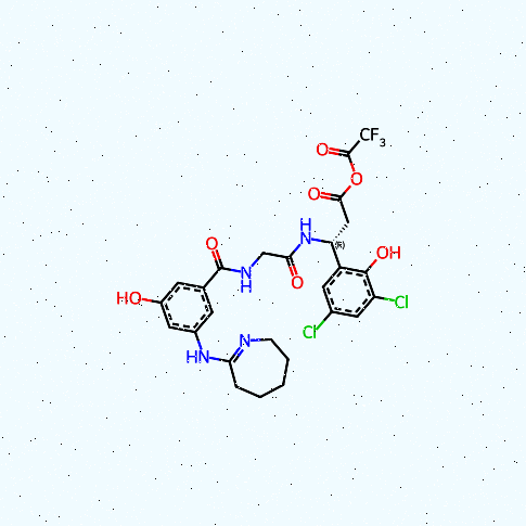 O=C(CNC(=O)c1cc(O)cc(NC2=NCCCCC2)c1)N[C@H](CC(=O)OC(=O)C(F)(F)F)c1cc(Cl)cc(Cl)c1O